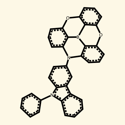 c1ccc(-n2c3ccccc3c3cc(N4c5cccc6c5B5c7c(cccc7Oc7cccc4c75)O6)ccc32)cc1